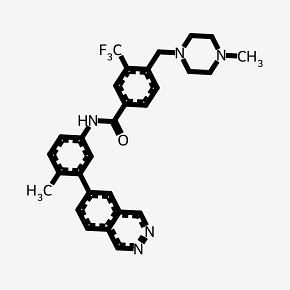 Cc1ccc(NC(=O)c2ccc(CN3CCN(C)CC3)c(C(F)(F)F)c2)cc1-c1ccc2cnncc2c1